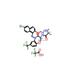 CN[C@@H](C)C(=O)N[C@@H]1C(=O)N(Cc2c(OC)ccc3cc(Br)ccc23)c2cc(C(F)(F)F)ccc2O[C@H]1C.O=C(O)C(F)(F)F